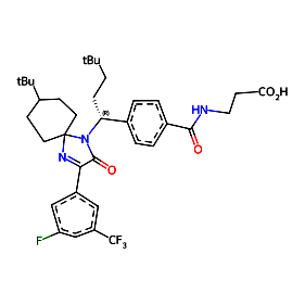 CC(C)(C)CC[C@H](c1ccc(C(=O)NCCC(=O)O)cc1)N1C(=O)C(c2cc(F)cc(C(F)(F)F)c2)=NC12CCC(C(C)(C)C)CC2